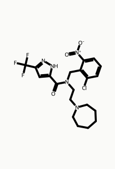 O=C(c1cc(C(F)(F)F)n[nH]1)N(CCN1CCCCCC1)Cc1c(Cl)cccc1[N+](=O)[O-]